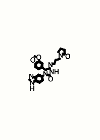 O=C1CCCN1CCCN=C1NC(=O)N(c2ccc3[nH]cnc3c2)C1c1ccc2c(c1)OCO2